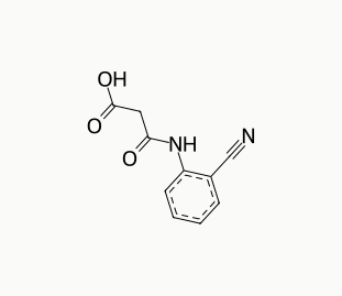 N#Cc1ccccc1NC(=O)CC(=O)O